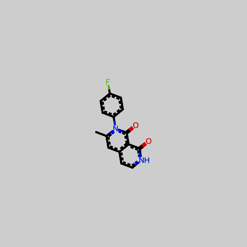 Cc1cc2cc[nH]c(=O)c2c(=O)n1-c1ccc(F)cc1